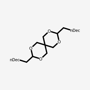 CCCCCCCCCCCC1OCC2(CO1)COC(CCCCCCCCCCC)OC2